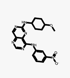 COC1CCC(Nc2ncc3ncnc(Nc4cccc([N+](=O)[O-])c4)c3n2)CC1